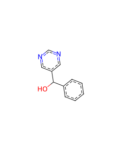 OC(c1ccccc1)c1cncnc1